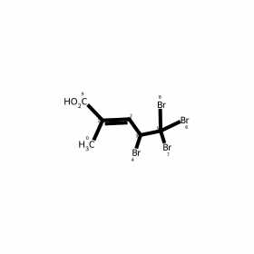 CC(=CC(Br)C(Br)(Br)Br)C(=O)O